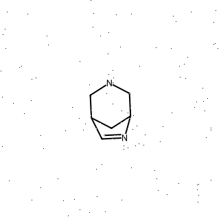 C1=NC2C[N]CC1C2